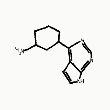 NC1CCCC(c2ncnc3[nH]ccc23)C1